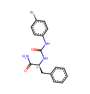 NC(=O)[C@H](Cc1ccccc1)NC(=O)Nc1ccc(Br)cc1